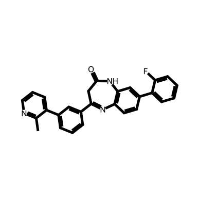 Cc1ncccc1-c1cccc(C2=Nc3ccc(-c4ccccc4F)cc3NC(=O)C2)c1